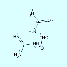 N=C(N)N.NC(N)=O.O=CO